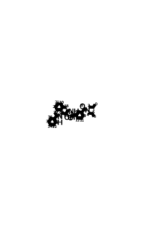 CCCN(CCC)C(=O)c1cccc(C(=O)N[C@@H](Cc2ccccc2)[C@H](O)CNC(C)c2ccccc2)c1